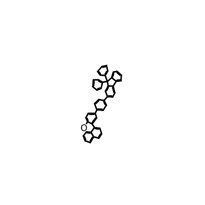 c1ccc(C2(c3ccccc3)c3ccccc3-c3ccc(-c4ccc(-c5ccc6c(c5)-c5cccc7cccc(c57)O6)cc4)cc32)cc1